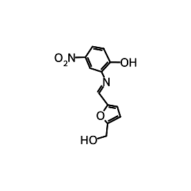 O=[N+]([O-])c1ccc(O)c(N=Cc2ccc(CO)o2)c1